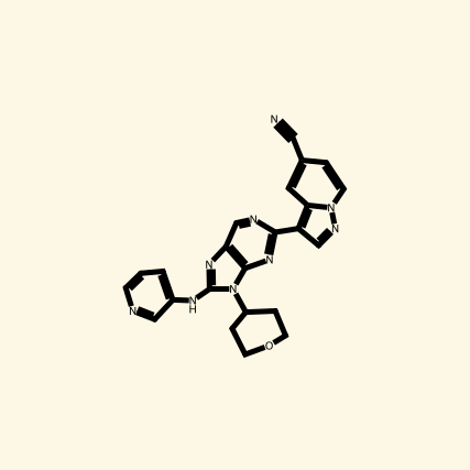 N#Cc1ccn2ncc(-c3ncc4nc(Nc5cccnc5)n(C5CCOCC5)c4n3)c2c1